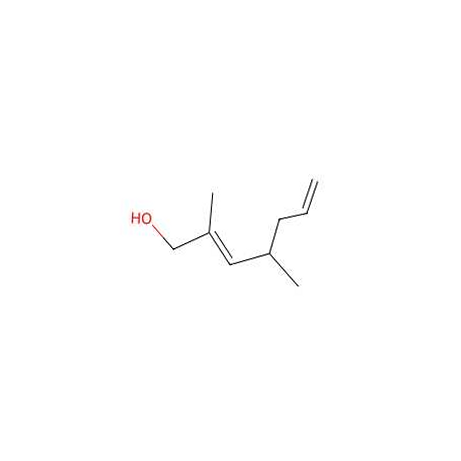 C=CCC(C)/C=C(\C)CO